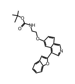 CC(C)(C)OC(=O)NCCOc1ccc2cncc(-c3cc4ccccc4o3)c2c1